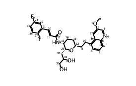 COc1cnc2cccc(CC[C@@H]3CC[C@@H](NC(=O)/C=C/c4cc(F)ccc4F)[C@@H](CC(O)CO)O3)c2c1